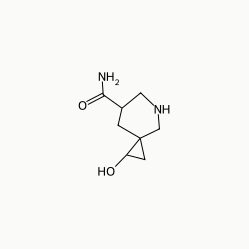 NC(=O)C1CNCC2(C1)CC2O